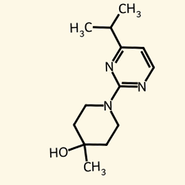 CC(C)c1ccnc(N2CCC(C)(O)CC2)n1